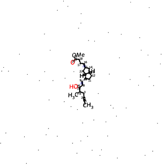 CC#CCC(C)[C@H](O)/C=C/[C@H]1CC[C@@H]2C/C(=C/CCC(=O)OC)C[C@@H]21